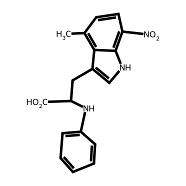 Cc1ccc([N+](=O)[O-])c2[nH]cc(CC(Nc3ccccc3)C(=O)O)c12